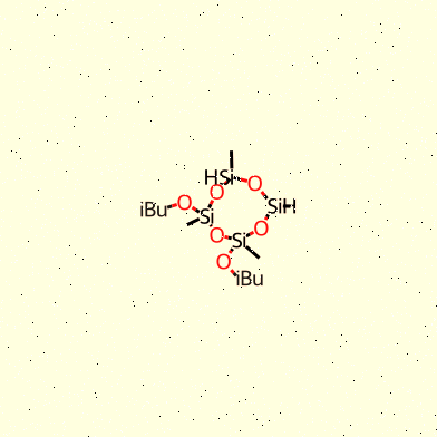 CCC(C)O[Si]1(C)O[SiH](C)O[SiH](C)O[Si](C)(OC(C)CC)O1